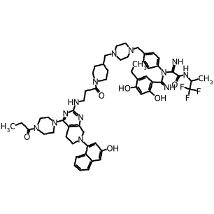 CCC(=O)N1CCN(c2nc(NCCC(=O)N3CCC(CN4CCN(Cc5ccc(N(C(=N)C(=O)NC(C)C(F)(F)F)C(=N)c6cc(CC)c(O)cc6O)cc5)CC4)CC3)nc3c2CCN(c2cc(O)cc4ccccc24)C3)CC1